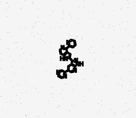 c1ccc(-c2nccc3[nH]c(-c4n[nH]c5ncc(-c6cnccn6)cc45)cc23)nc1